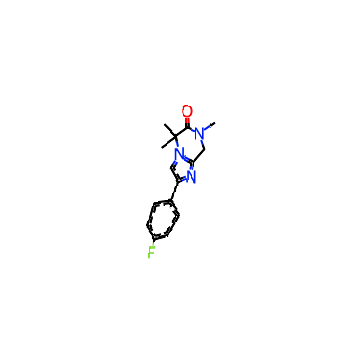 CN1Cc2nc(-c3ccc(F)cc3)cn2C(C)(C)C1=O